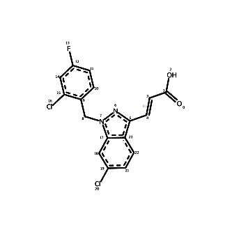 O=C(O)/C=C/c1nn(Cc2ccc(F)cc2Cl)c2cc(Cl)ccc12